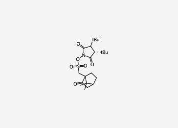 CC(C)(C)C1C(=O)N(OS(=O)(=O)CC23CCC(CC2=O)C3(C)C)C(=O)[C@H]1C(C)(C)C